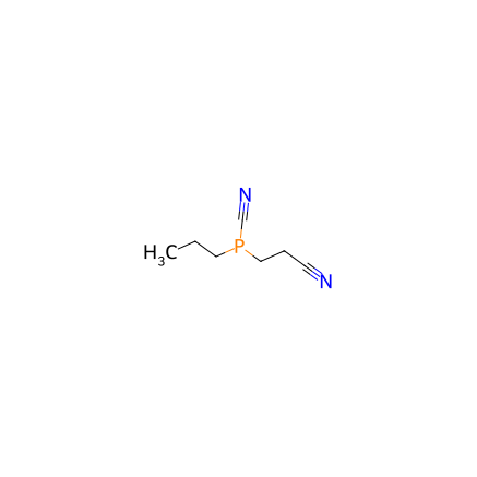 CCCP(C#N)CCC#N